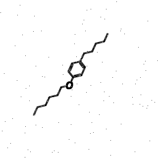 CCCCCCOc1ccc(CCCCC)cc1